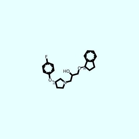 OC(CO[C@@H]1CCc2ccccc21)CN1CC[C@H](Oc2ccc(F)cc2)C1